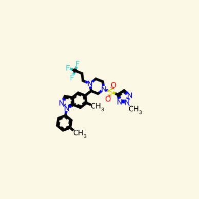 Cc1cccc(-n2ncc3cc(C4CN(S(=O)(=O)c5cnn(C)n5)CCN4CCC(F)(F)F)c(C)cc32)c1